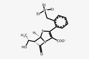 CC[N+](CC)(CC)Cc1ccccc1C1=C(C(=O)[O-])N2C(=O)[C@H]([C@@H](C)O)[C@H]2S1